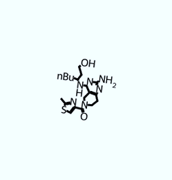 CCCCC(CCO)Nc1nc(N)nc2c1CN(C(=O)c1csc(C)n1)CC2